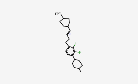 CCCC1CCC(/C=C/CCc2ccc(C3CCC(C)CC3)c(F)c2F)CC1